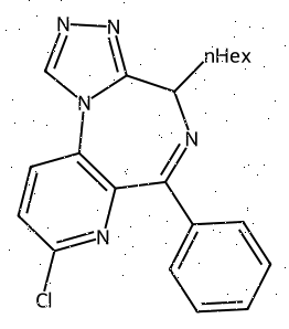 CCCCCCC1N=C(c2ccccc2)c2nc(Cl)ccc2-n2cnnc21